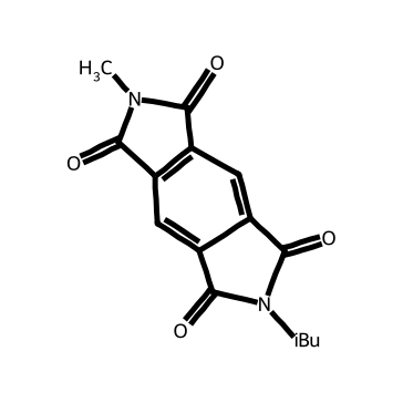 CCC(C)n1c(=O)c2cc3c(=O)n(C)c(=O)c3cc2c1=O